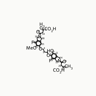 COc1c(OCCCOc2c(O)cc3c(c2F)CN(C(=O)C[C@H](C)C(=O)O)C3)cc2c(c1F)CN(C(=O)C[C@H](C)C(=O)O)C2